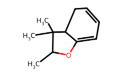 CC1OC2=CC=CCC2C1(C)C